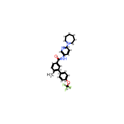 Cc1ccc(C(=O)Nc2ccc(N3CCCCCC3)nc2)cc1-c1ccc(OC(F)(F)F)cc1